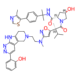 Cc1ncsc1-c1ccc(C(C)(C)NC(=O)[C@@H]2C[C@@H](O)CN2C(=O)[C@](C)(c2cc(N(C)CCN3CCc4[nH]c5nnc(-c6ccccc6O)cc5c4C3)no2)C(C)C)cc1